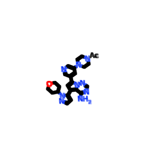 CC(=O)N1CCN(c2cncc(-c3cc(-c4ccnn4C4CCOCC4)c4c(N)ncnn34)c2)CC1